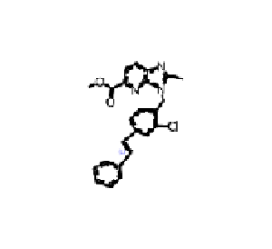 COC(=O)c1ccc2nc(C)n(Cc3ccc(/C=C/c4ccccc4)cc3Cl)c2n1